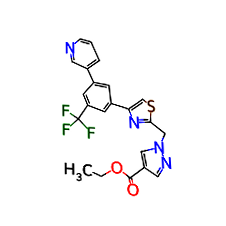 CCOC(=O)c1cnn(Cc2nc(-c3cc(-c4cccnc4)cc(C(F)(F)F)c3)cs2)c1